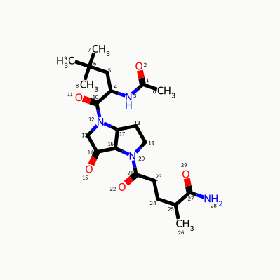 CC(=O)NC(CC(C)(C)C)C(=O)N1CC(=O)C2C1CCN2C(=O)[CH]CC(C)C(N)=O